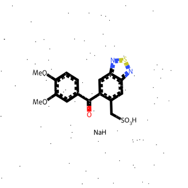 COc1ccc(C(=O)c2cc3nsnc3cc2CS(=O)(=O)O)cc1OC.[NaH]